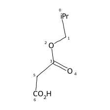 CC(C)COC(=O)CC(=O)O